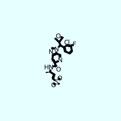 C[C@H](/C=C/S(C)(=O)=O)NC(=O)c1cc2ncn(C(c3cccc(F)c3Cl)C3COC3)c2cn1